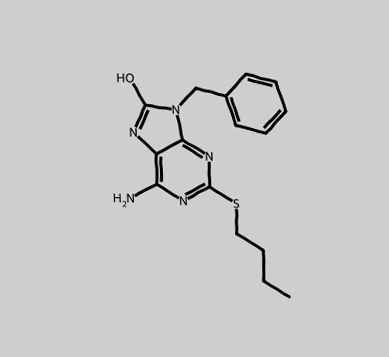 CCCCSc1nc(N)c2nc(O)n(Cc3ccccc3)c2n1